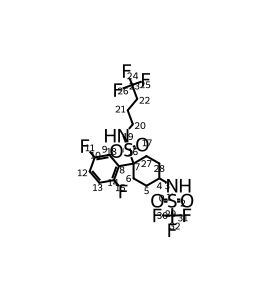 O=S(=O)(NC1CCC(c2cc(F)ccc2F)(S(=O)(=O)NCCCC(F)(F)F)CC1)C(F)(F)F